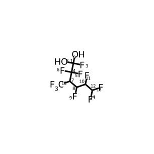 OC(O)(F)C(F)(F)C(C(F)C(F)C(F)F)C(F)(F)F